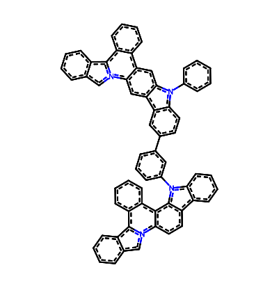 c1ccc(-n2c3ccc(-c4cccc(-n5c6ccccc6c6ccc7c(c8ccccc8c8c9ccccc9cn78)c65)c4)cc3c3cc4c(cc32)c2ccccc2c2c3ccccc3cn42)cc1